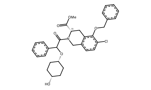 COC(=O)[C@@H]1Cc2c(ccc(Cl)c2OCc2ccccc2)CN1C(=O)C(O[C@H]1CC[C@@H](O)CC1)c1ccccc1